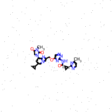 Cc1ccnc([C@H]2C[C@@H]2C(=O)Nc2nncc(OCc3cn4cc(C5CC5)cc(N5CC(=O)N(C)C5=O)c4n3)n2)n1